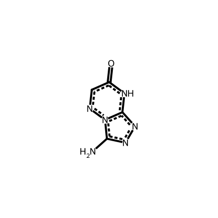 Nc1nnc2[nH]c(=O)cnn12